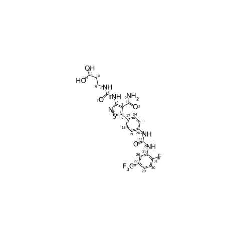 NC(=O)c1c(NC(=O)NCCC(O)O)nsc1-c1ccc(NC(=O)Nc2cc(C(F)(F)F)ccc2F)cc1